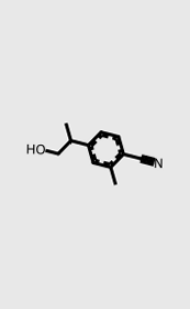 C[C](CO)c1ccc(C#N)c(C)c1